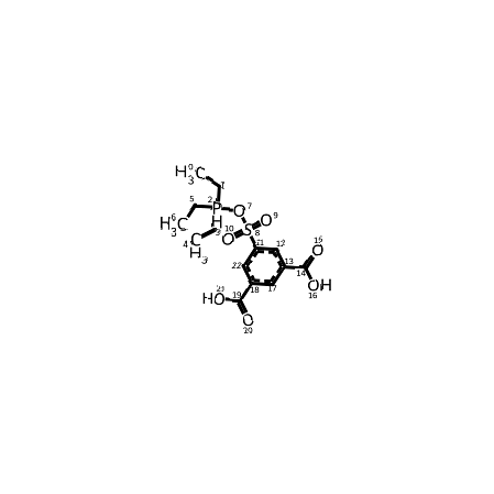 CC[PH](CC)(CC)OS(=O)(=O)c1cc(C(=O)O)cc(C(=O)O)c1